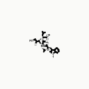 COC(=O)[C@H](CC(C)C)NC(=O)[C@H](CCC(=O)C=N)NC(=O)[C@H](Cc1c[nH]c2ccccc12)NC(C)=O